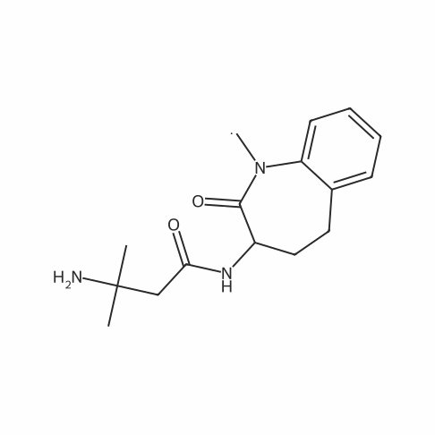 [CH2]N1C(=O)C(NC(=O)CC(C)(C)N)CCc2ccccc21